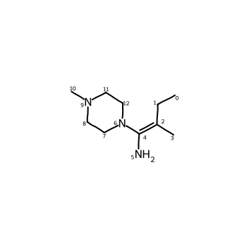 CC/C(C)=C(/N)N1CCN(C)CC1